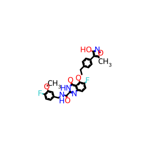 COc1cc(CNC(=O)c2nc3ccc(F)c(OCCc4ccc(-c5c(O)noc5C)cc4)c3c(=O)[nH]2)ccc1F